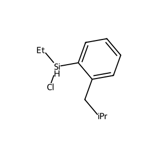 CC[SiH](Cl)c1ccccc1CC(C)C